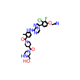 Cc1cc(Nc2nccn3c(-c4ccc(OCC#N)c(F)c4Cl)cnc23)ccc1C(=O)N1CCC(C(=O)N2CCNC(CO)C2)CC1